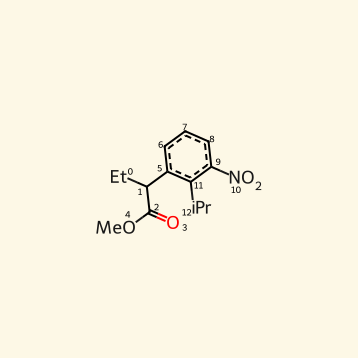 CCC(C(=O)OC)c1cccc([N+](=O)[O-])c1C(C)C